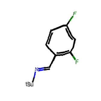 CC(C)(C)N=Cc1ccc(F)cc1F